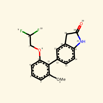 COc1cccc(OCC(F)F)c1-c1ccc2c(c1)CC(=O)N2